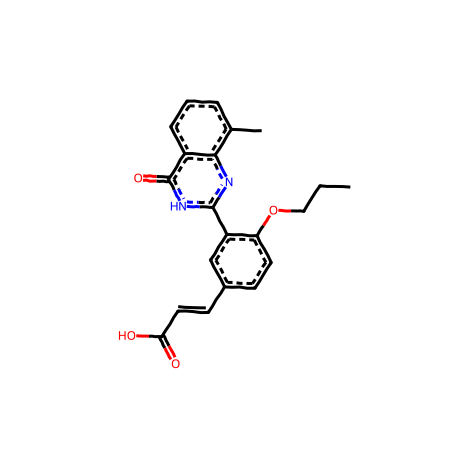 CCCOc1ccc(C=CC(=O)O)cc1-c1nc2c(C)cccc2c(=O)[nH]1